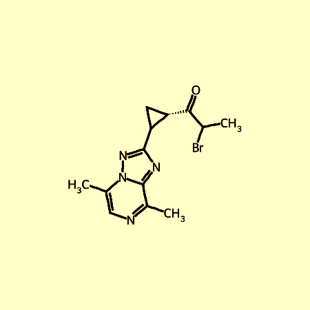 Cc1ncc(C)n2nc(C3C[C@@H]3C(=O)C(C)Br)nc12